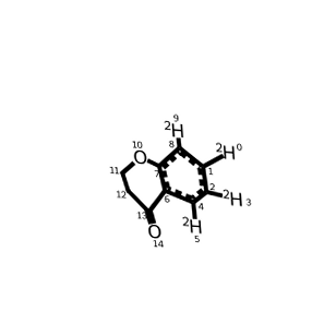 [2H]c1c([2H])c([2H])c2c(c1[2H])OCCC2=O